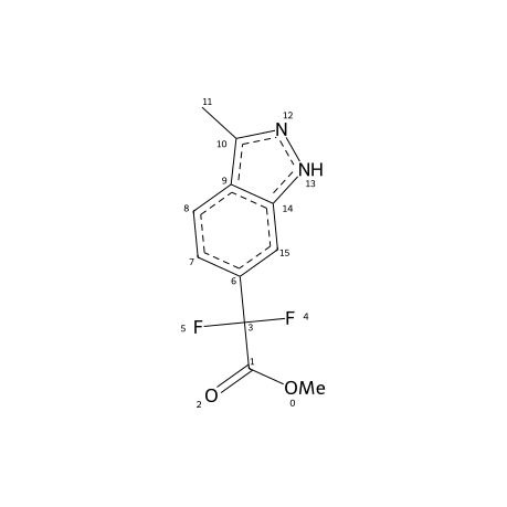 COC(=O)C(F)(F)c1ccc2c(C)n[nH]c2c1